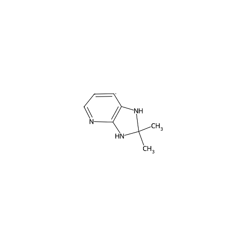 CC1(C)Nc2[c]ccnc2N1